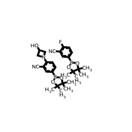 CC1(C)OB(c2ccc(F)c(C#N)c2)OC1(C)C.CC1(C)OB(c2ccc(N3CC(O)C3)c(C#N)c2)OC1(C)C